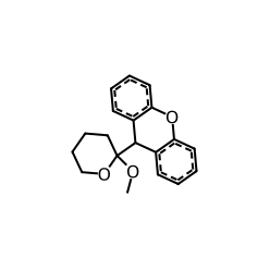 COC1(C2c3ccccc3Oc3ccccc32)CCCCO1